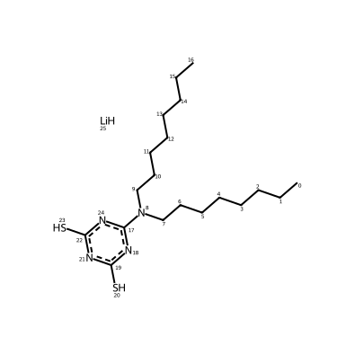 CCCCCCCCN(CCCCCCCC)c1nc(S)nc(S)n1.[LiH]